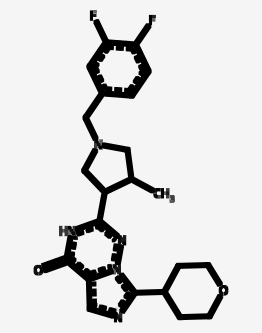 CC1CN(Cc2ccc(F)c(F)c2)CC1c1nn2c(C3CCOCC3)ncc2c(=O)[nH]1